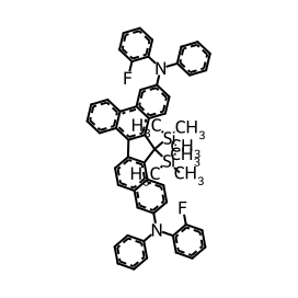 C[Si](C)(C)C1([Si](C)(C)C)c2c(ccc3cc(N(c4ccccc4)c4ccccc4F)ccc23)-c2c1c1ccc(N(c3ccccc3)c3ccccc3F)cc1c1ccccc21